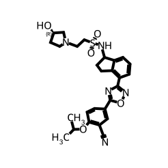 CC(C)Oc1ccc(-c2nc(-c3cccc4c3CCC4NS(=O)(=O)CCN3CC[C@@H](O)C3)no2)cc1C#N